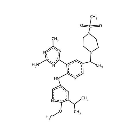 COc1ncc(Nc2ncc(C(C)N3CCN(S(C)(=O)=O)CC3)cc2-c2nc(C)nc(N)n2)cc1C(C)C